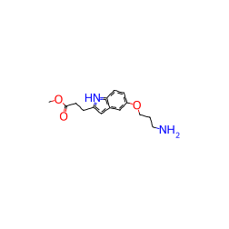 COC(=O)CCc1cc2cc(OCCCN)ccc2[nH]1